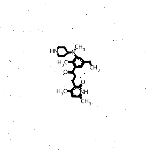 CCc1cc(C(=O)CCc2c(C)cc(C)[nH]c2=O)c(C)c(N(C)C2CCNCC2)c1